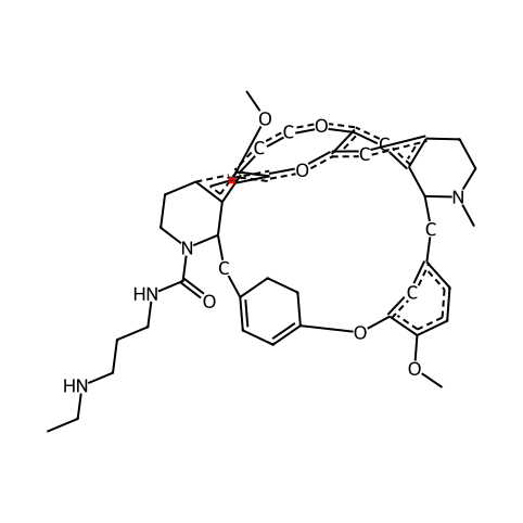 CCNCCCNC(=O)N1CCc2cc(OC)c3oc4cc5c6cc4occc3c2C1CC1=CC=C(CC1)Oc1cc(ccc1OC)CC6N(C)CC5